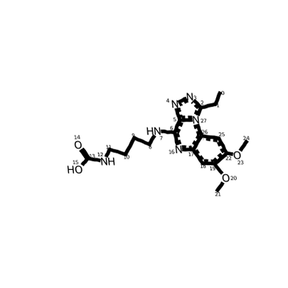 CCc1nnc2c(NCCCCNC(=O)O)nc3cc(OC)c(OC)cc3n12